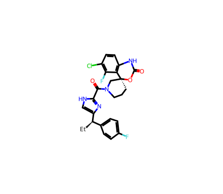 CC[C@H](c1ccc(F)cc1)c1c[nH]c(C(=O)N2CCC[C@@]3(C2)OC(=O)Nc2ccc(Cl)c(F)c23)n1